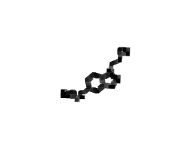 CCOC(=O)c1ccc2c(cnn2CCC#N)c1